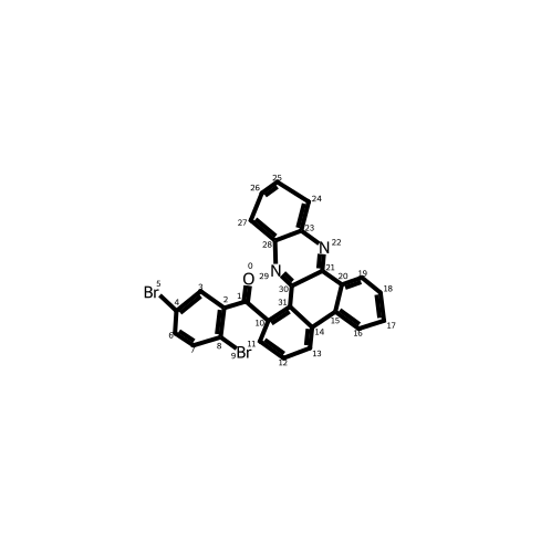 O=C(c1cc(Br)ccc1Br)c1cccc2c3ccccc3c3nc4ccccc4nc3c12